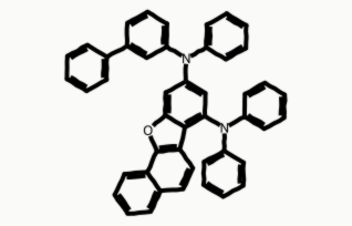 c1ccc(-c2cccc(N(c3ccccc3)c3cc(N(c4ccccc4)c4ccccc4)c4c(c3)oc3c5ccccc5ccc34)c2)cc1